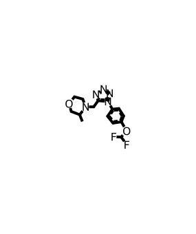 CC1COCCN1Cc1nnnn1-c1ccc(OC(F)F)cc1